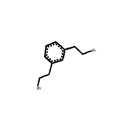 CC(C)CCc1c[c]cc(CCC(C)C)c1